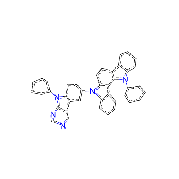 c1ccc(-n2c3ccc(-n4c5ccccc5c5c4ccc4c6ccccc6n(-c6ccccc6)c45)cc3c3cncnc32)cc1